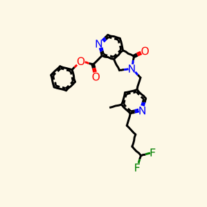 Cc1cc(CN2Cc3c(ccnc3C(=O)Oc3ccccc3)C2=O)cnc1CCCC(F)F